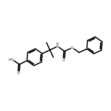 CC(C)(NC(=O)OCc1ccccc1)c1ccc(C(=O)O)cc1